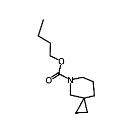 CCCCOC(=O)N1CCCC2(CC2)C1